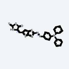 O=C1SC(=S)N/C1=C/c1cc2sc(/N=N/c3ccc(N(c4ccccc4)c4ccccc4)cc3)nc2s1